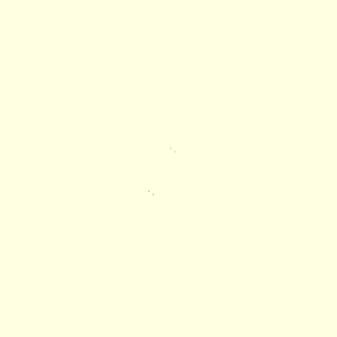 C=CC(Oc1cc[c]cc1)N1CCN(c2ccccc2)CC1